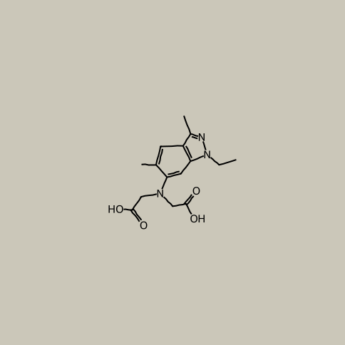 CCn1nc(C)c2cc(C)c(N(CC(=O)O)CC(=O)O)cc21